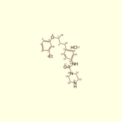 CCc1cccc(OC(C)CCc2ccc(NC(=O)N3CCNCC3)cc2)c1.Cl